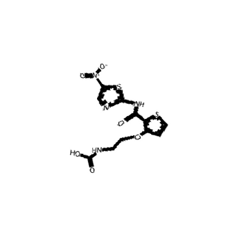 O=C(O)NCCOc1ccsc1C(=O)Nc1ncc([N+](=O)[O-])s1